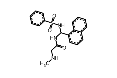 CNCC(=O)NC(NS(=O)(=O)c1ccccc1)c1cccc2ccccc12